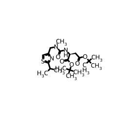 CC(C)c1nc(CN(C)C(=O)N[C@@H](CC(=O)OC(C)(C)C)C(=O)OC(C)(C)C)cs1